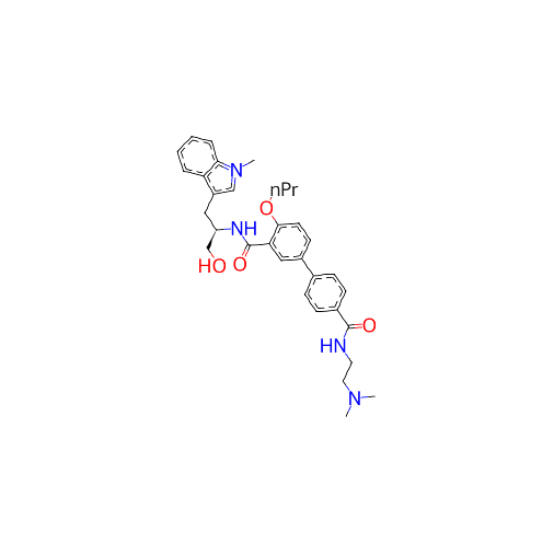 CCCOc1ccc(-c2ccc(C(=O)NCCN(C)C)cc2)cc1C(=O)N[C@@H](CO)Cc1cn(C)c2ccccc12